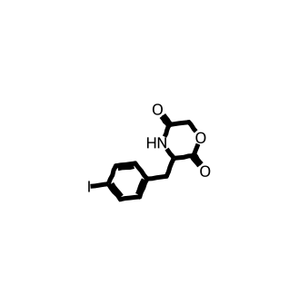 O=C1COC(=O)C(Cc2ccc(I)cc2)N1